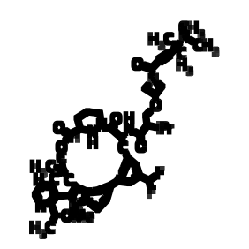 CCn1c(-c2cccnc2[C@H](C)OC)c2c3cc(ccc31)-c1cc(cc(C(F)F)c1)C[C@H](NC(=O)C(COC1CN(C(=O)C#CC(C)(C)N(C)C)C1)C(C)C)C(=O)N1CCC[C@H](N1)C(=O)OCC(C)(C)C2